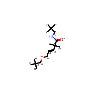 CC(C)(C)CNC(=O)C(C)(C)/C=C/COCC(C)(C)C